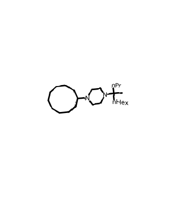 CCCCCCC(C)(CCC)N1CCN(C2CCCCCCCCC2)CC1